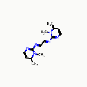 CC1C=CN=C(N=CC=NC2=NC=CC(C)N2C)N1C